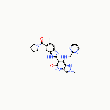 Cc1cc2nc(-c3c(NCc4ncccn4)c4nn(C)cc4[nH]c3=O)[nH]c2cc1C(=O)N1CCCC1